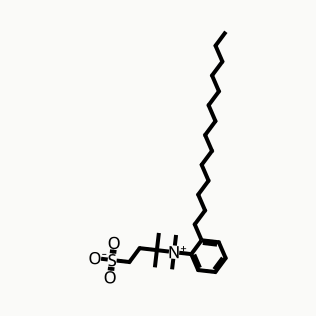 CCCCCCCCCCCCCCc1ccccc1[N+](C)(C)C(C)(C)CCS(=O)(=O)[O-]